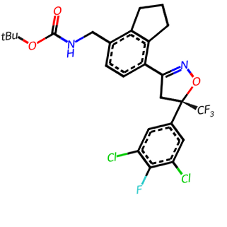 CC(C)(C)OC(=O)NCc1ccc(C2=NO[C@@](c3cc(Cl)c(F)c(Cl)c3)(C(F)(F)F)C2)c2c1CCC2